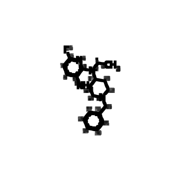 CCN(c1nc(F)ccc1N)C1CCN(Cc2ccccc2)CC1